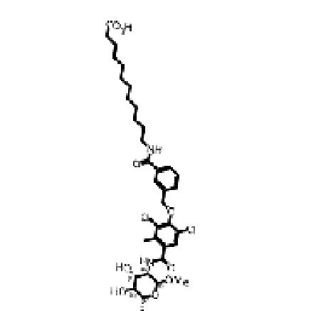 CO[C@H]1O[C@H](CO)[C@@H](O)[C@H](O)[C@H]1NC(=O)c1cc(Cl)c(OCc2cccc(C(=O)NCCCCCCCCCCCC(=O)O)c2)c(Cl)c1C